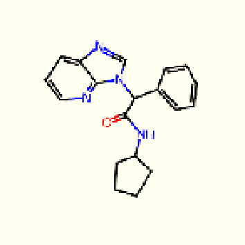 O=C(NC1CCCC1)C(c1ccccc1)n1cnc2cccnc21